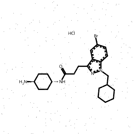 Cl.N[C@H]1CC[C@H](NC(=O)CCc2nn(CC3CCCCC3)c3ccc(Br)cc23)CC1